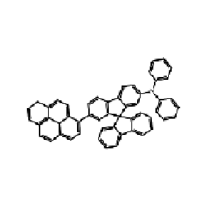 C1=CC2=C3C(=CC=C4C(c5ccc6c(c5)C5(c7ccccc7-c7ccccc75)c5cc(N(c7ccccc7)c7ccccc7)ccc5-6)=CC=C(C=C2)C43)C1